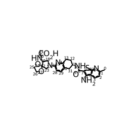 Cc1ccc2c(N)c(C(=O)N[C@H]3CCc4nc(N5C[C@H](NC(=O)O)C6(C5)OCCO6)ccc4C3)sc2n1